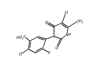 Cc1[nH]c(=O)n(-c2cc(C(=O)O)c(Cl)cc2F)c(=O)c1Cl